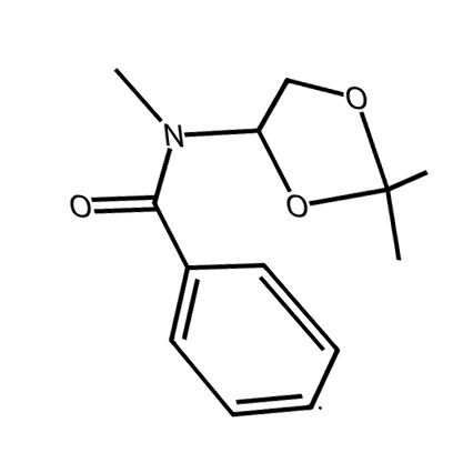 CN(C(=O)c1cc[c]cc1)C1COC(C)(C)O1